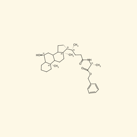 C[C@H](CCC(=O)N[C@H](C)C(=O)OCc1ccccc1)[C@H]1CCC2C3C[C@H](O)C4CCCC[C@]4(C)C3CC[C@@]21C